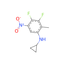 Cc1c(NC2CC2)cc([N+](=O)[O-])c(F)c1F